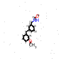 COc1cccc(Cc2cccc(CNC=O)c2)c1